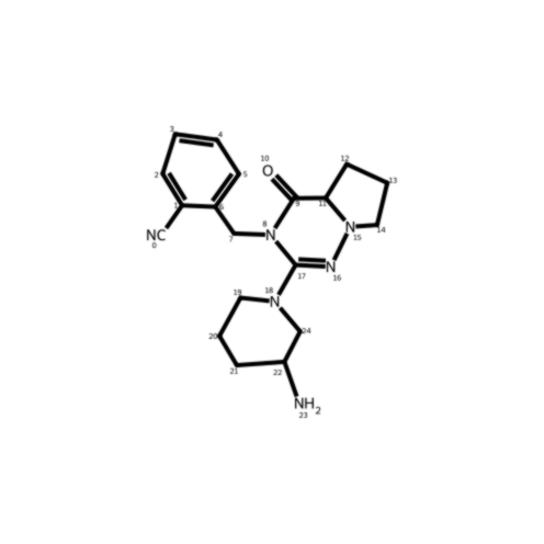 N#Cc1ccccc1CN1C(=O)C2CCCN2N=C1N1CCCC(N)C1